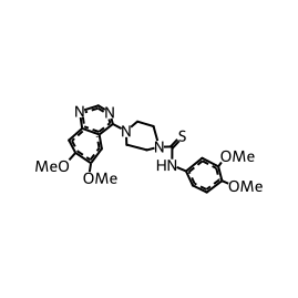 COc1ccc(NC(=S)N2CCN(c3ncnc4cc(OC)c(OC)cc34)CC2)cc1OC